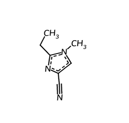 CCc1nc(C#N)cn1C